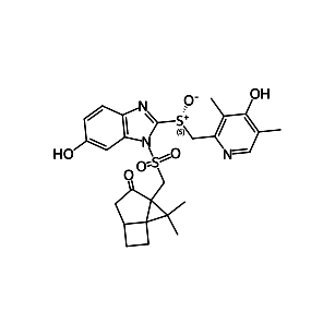 Cc1cnc(C[S@@+]([O-])c2nc3ccc(O)cc3n2S(=O)(=O)CC23C(=O)CC4CCC42C3(C)C)c(C)c1O